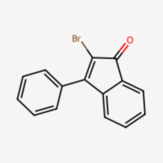 O=C1C(Br)=C(c2ccccc2)c2ccccc21